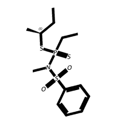 CC[C@H](C)SP(=S)(CC)N(C)S(=O)(=O)c1ccccc1